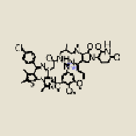 C=C/C=C(/N=N\c1cc(OC)c(OC)c(OC)c1)C1=C(N(C)CC(C)CNC(=O)C[C@@H]2N=C(c3ccc(Cl)cc3)c3c(sc(C)c3C)-n3c(C)nnc32)C(=O)N(C2CCC(=O)NC2=O)C1